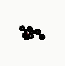 c1ccc(-c2cccc(-n3c4cccc(N(c5ccccc5)c5ccccc5)c4c4c5ccccc5ccc43)c2)cc1